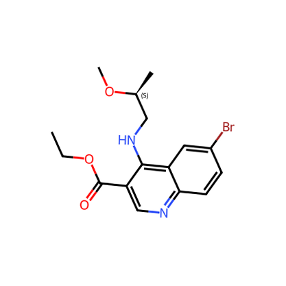 CCOC(=O)c1cnc2ccc(Br)cc2c1NC[C@H](C)OC